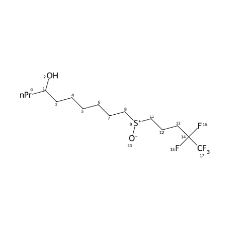 [CH2]CCC(O)CCCCCC[S+]([O-])CCCC(F)(F)C(F)(F)F